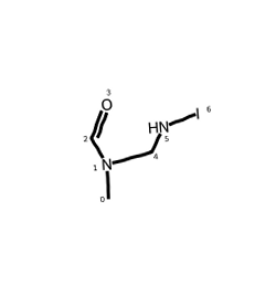 CN(C=O)CNI